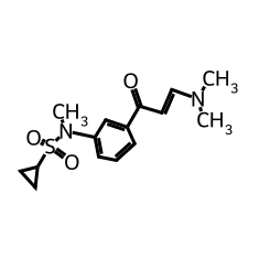 CN(C)/C=C/C(=O)c1cccc(N(C)S(=O)(=O)C2CC2)c1